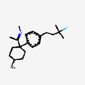 CCCCC1CCC(/C(C)=N/C)(c2ccc(CCC(C)(C)F)cc2)CC1